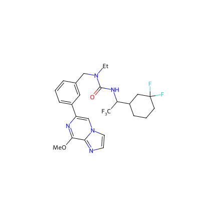 CCN(Cc1cccc(-c2cn3ccnc3c(OC)n2)c1)C(=O)NC(C1CCCC(F)(F)C1)C(F)(F)F